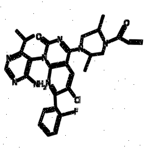 C=CC(=O)N1CC(C)N(c2nc(=O)n(-c3c(N)ncnc3C(C)C)c3nc(-c4ccccc4F)c(Cl)cc23)CC1C